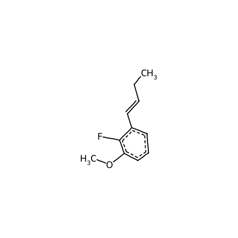 CCC=Cc1cccc(OC)c1F